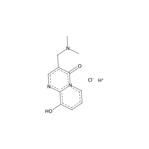 CN(C)Cc1cnc2c(O)cccn2c1=O.[Cl-].[H+]